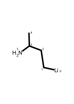 [Li][CH2]CC(C)N